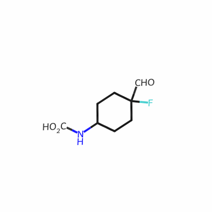 O=CC1(F)CCC(NC(=O)O)CC1